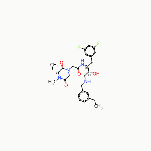 CCc1cccc(CNC[C@@H](O)[C@H](Cc2cc(F)cc(F)c2)NC(=O)CN2CC(=O)N(C)[C@H](CC)C2=O)c1